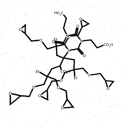 CCC(COCC1CO1)(COCC1CO1)CC(C(=O)O)C(CC(CC)(COCC1CO1)COCC1CO1)(CC(CC)(COCC1CO1)COCC1CO1)n1c(=O)n(CCC(=O)O)c(=O)n(CCC(=O)O)c1=O